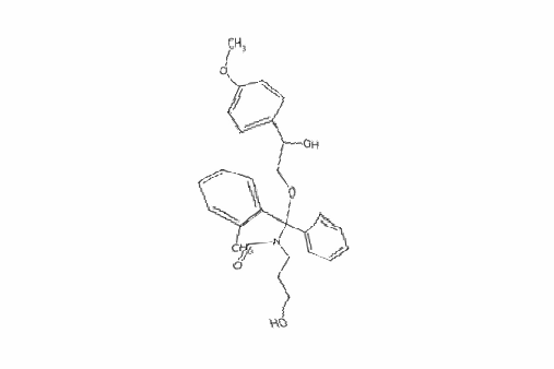 COc1ccc(C(O)COC(c2ccccc2)(c2ccccc2C)N(C=O)CCCO)cc1